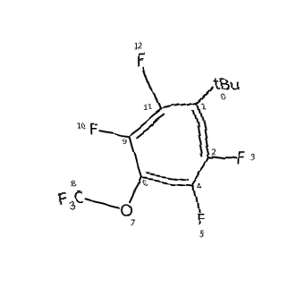 CC(C)(C)c1c(F)c(F)c(OC(F)(F)F)c(F)c1F